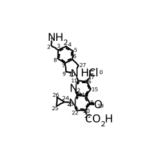 Cl.NCc1ccc2c(c1)CN(c1nc3c(cc1F)c(=O)c(C(=O)O)cn3C1CC1)C2